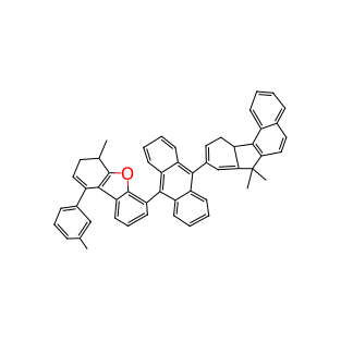 Cc1cccc(C2=CCC(C)c3oc4c(-c5c6ccccc6c(C6=CCC7C(=C6)C(C)(C)c6ccc8ccccc8c67)c6ccccc56)cccc4c32)c1